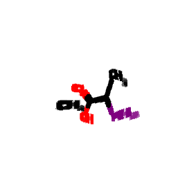 C.CC(P)C(=O)O